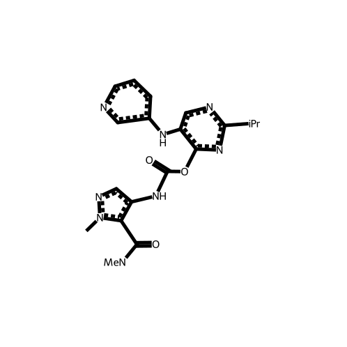 CNC(=O)c1c(NC(=O)Oc2nc(C(C)C)ncc2Nc2cccnc2)cnn1C